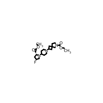 CCOC(=O)N1CCC2(CC(N3CCC(N4C[C@H](F)C[C@@H]4C4OC4OC)CC3)C2)C1